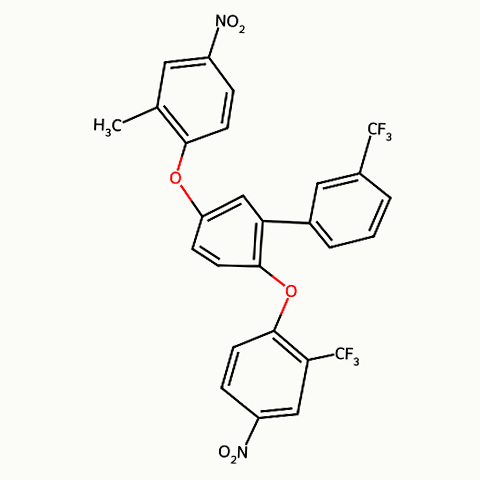 Cc1cc([N+](=O)[O-])ccc1Oc1ccc(Oc2ccc([N+](=O)[O-])cc2C(F)(F)F)c(-c2cccc(C(F)(F)F)c2)c1